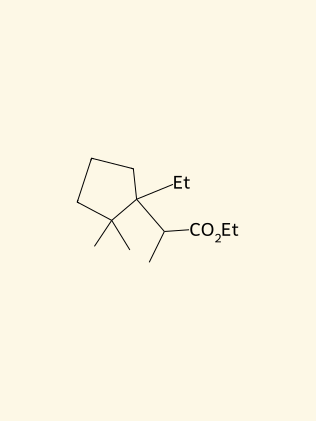 CCOC(=O)C(C)C1(CC)CCCC1(C)C